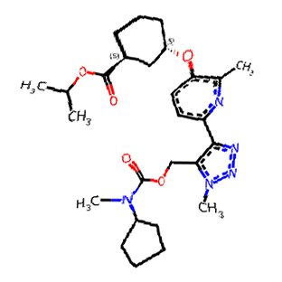 Cc1nc(-c2nnn(C)c2COC(=O)N(C)C2CCCC2)ccc1O[C@H]1CCC[C@H](C(=O)OC(C)C)C1